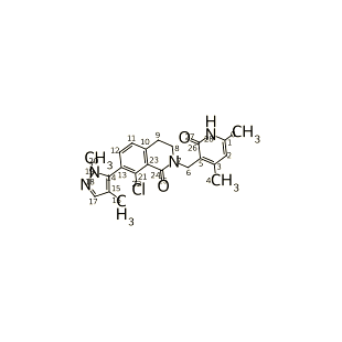 Cc1cc(C)c(CN2CCc3ccc(-c4c(C)cnn4C)c(Cl)c3C2=O)c(=O)[nH]1